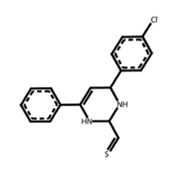 S=CC1NC(c2ccccc2)=CC(c2ccc(Cl)cc2)N1